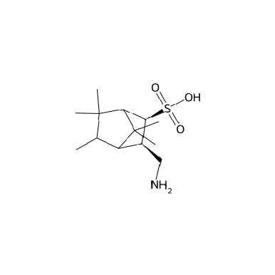 CC1C2[C@H](CN)[C@H](S(=O)(=O)O)C(C1(C)C)C2(C)C